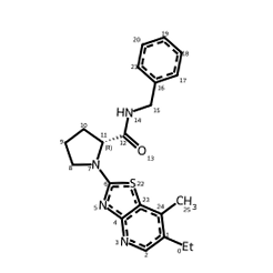 CCc1cnc2nc(N3CCC[C@@H]3C(=O)NCc3ccccc3)sc2c1C